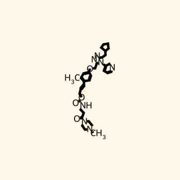 Cc1cc(OCc2nnc(CC3CCCC3)n2-c2cccnc2)ccc1C#CCOC(=O)NCCC(=O)N1CCN(C)CC1